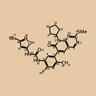 CSc1ncc2cc(-c3cc(NC(=O)Nc4cc(C(C)(C)C)no4)c(F)cc3C)c(=O)n(C3CCCC3)c2n1